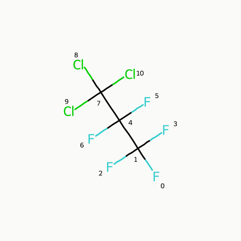 FC(F)(F)C(F)(F)C(Cl)(Cl)Cl